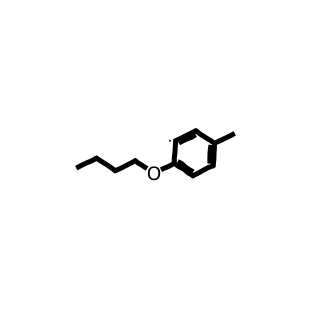 CCCCOc1[c]cc(C)cc1